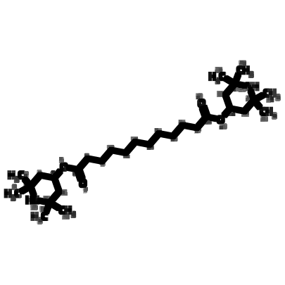 CC1(C)CC(OC(=O)CCCCCCCCCCC(=O)OC2CC(C)(C)NC(C)(C)C2)CC(C)(C)N1